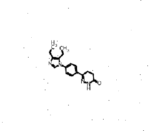 CCc1ncn(-c2ccc(C3=NNC(=O)CC3)cc2)c1CC